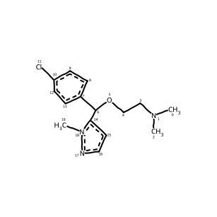 CN(C)CCOC(c1ccc(Cl)cc1)c1ccnn1C